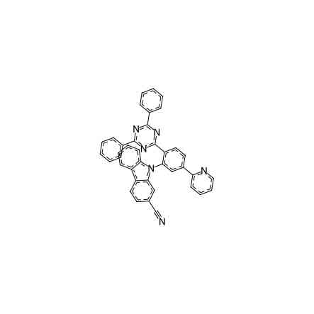 N#Cc1ccc2c3ccccc3n(-c3cc(-c4ccccn4)ccc3-c3nc(-c4ccccc4)nc(-c4ccccc4)n3)c2c1